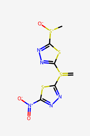 C=S(c1nnc([N+](=O)[O-])s1)c1nnc([S+](C)[O-])s1